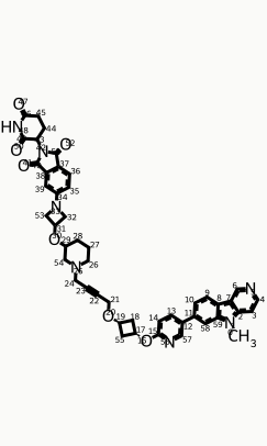 Cn1c2ccncc2c2ccc(-c3ccc(O[C@H]4C[C@H](OCC#CCN5CCCC(OC6CN(c7ccc8c(c7)C(=O)N(C7CCC(=O)NC7=O)C8=O)C6)C5)C4)nc3)cc21